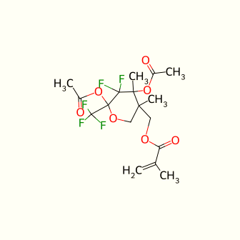 C=C(C)C(=O)OCC1(C)COC(OC(C)=O)(C(F)(F)F)C(F)(F)C1(C)OC(C)=O